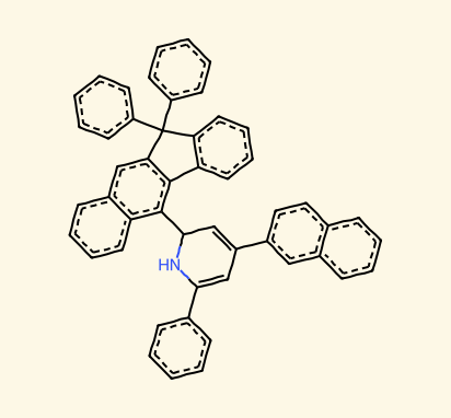 C1=C(c2ccc3ccccc3c2)C=C(c2ccccc2)NC1c1c2c(cc3ccccc13)C(c1ccccc1)(c1ccccc1)c1ccccc1-2